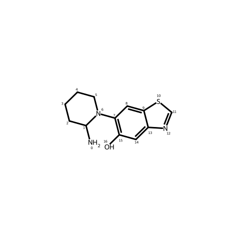 NC1CCCCN1c1cc2scnc2cc1O